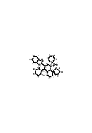 S=P(c1ccccc1)(c1ccccc1)c1cc2c(c3ccccc13)c1ccccc1n1c3ccccc3nc21